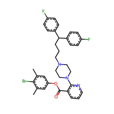 Cc1cc(OC(=O)c2cccnc2N2CCN(CCCC(c3ccc(F)cc3)c3ccc(F)cc3)CC2)cc(C)c1Br